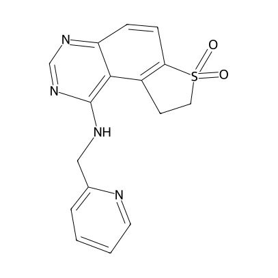 O=S1(=O)CCc2c1ccc1ncnc(NCc3ccccn3)c21